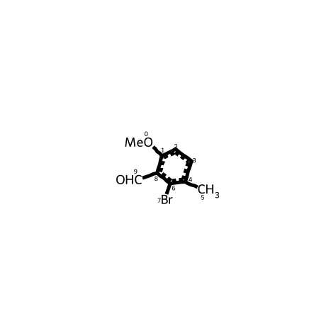 COc1ccc(C)c(Br)c1C=O